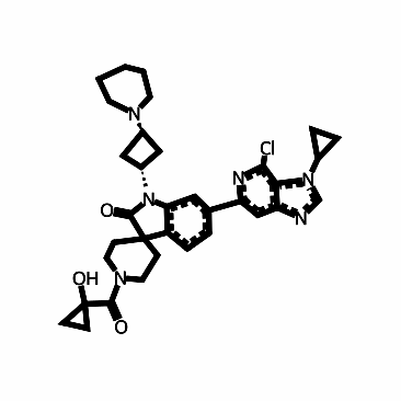 O=C(N1CCC2(CC1)C(=O)N([C@H]1C[C@@H](N3CCCCC3)C1)c1cc(-c3cc4ncn(C5CC5)c4c(Cl)n3)ccc12)C1(O)CC1